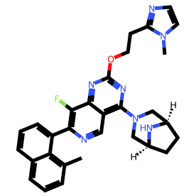 Cc1cccc2cccc(-c3ncc4c(N5C[C@H]6CC[C@@H](C5)N6)nc(OCCc5nccn5C)nc4c3F)c12